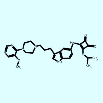 COc1cncnc1N1CCN(CCCc2c[nH]c3ccc(Nc4c(OC(C)C)c(=O)c4=O)cc23)CC1